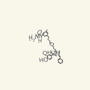 Cc1cc(CCCCOCCCCCCN(Cc2ccccc2)C[C@@H](O)c2ccc(O)c(CO)c2)cc(NC(N)=O)c1